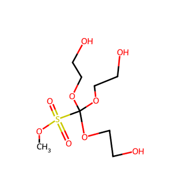 COS(=O)(=O)C(OCCO)(OCCO)OCCO